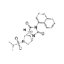 CC(C)S(=O)(=O)N1CC2CC1[C@H]1C(=O)N(c3cccc4ccccc34)C(=O)N21